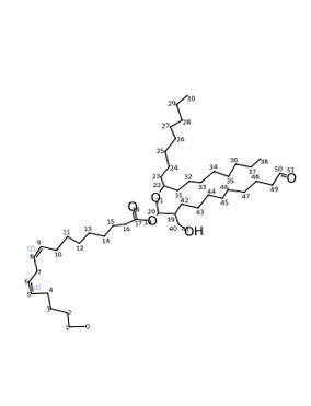 CCCCC/C=C\C/C=C\CCCCCCCC(=O)OC(OC(CCCCCCCC)CCCCCCCC)C(CO)CCCCCCCCC=O